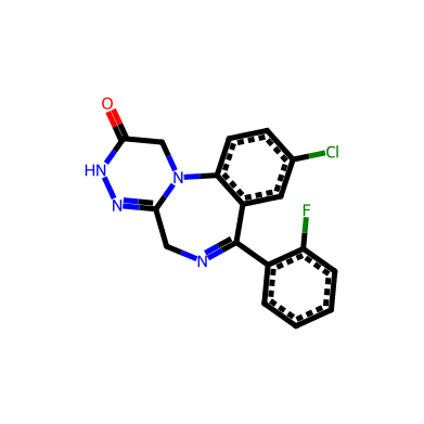 O=C1CN2C(=NN1)CN=C(c1ccccc1F)c1cc(Cl)ccc12